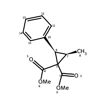 COC(=O)C1(C(=O)OC)[C@H](C)[C@@H]1c1ccccc1